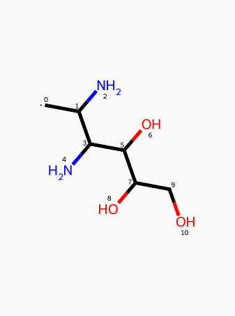 [CH2]C(N)C(N)C(O)C(O)CO